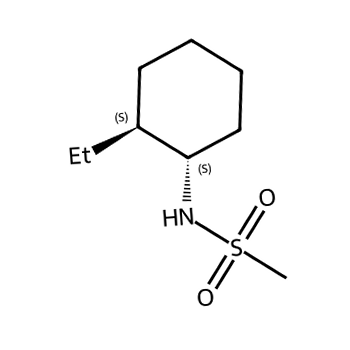 CC[C@H]1CCCC[C@@H]1NS(C)(=O)=O